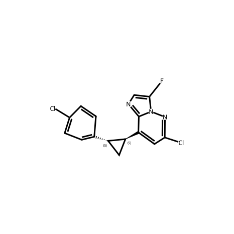 Fc1cnc2c([C@H]3C[C@@H]3c3ccc(Cl)cc3)cc(Cl)nn12